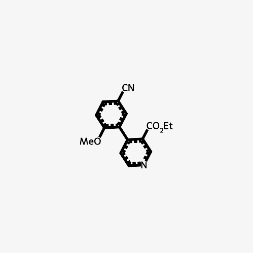 CCOC(=O)c1cnccc1-c1cc(C#N)ccc1OC